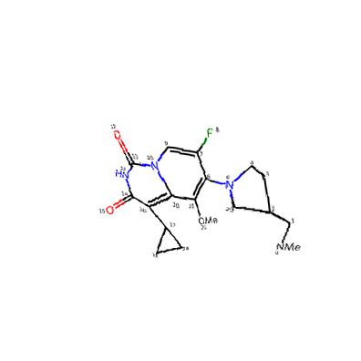 CNCC1CCN(c2c(F)cn3c(=O)[nH]c(=O)c(C4CC4)c3c2OC)C1